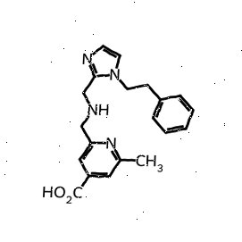 Cc1cc(C(=O)O)cc(CNCc2nccn2CCc2ccccc2)n1